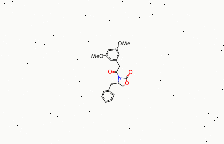 COc1cc(CC(=O)N2C(=O)OC[C@H]2Cc2ccccc2)cc(OC)c1